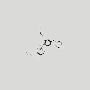 COc1nc(Nc2ccc(CN3CCOCC3)cc2OCCF)ncc1Cl